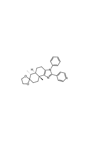 C[C@@H]1[C@H]2CCc3c(nc(-c4ccncc4)n3-c3ccccc3)[C@]2(C)CCC12OCCO2